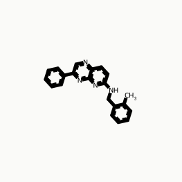 Cc1ccccc1CNc1ccc2ncc(-c3ccccc3)nc2n1